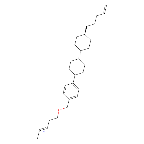 C=CCCC[C@H]1CC[C@H](C2CCC(c3ccc(COCC/C=C/C)cc3)CC2)CC1